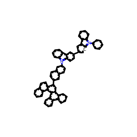 c1ccc(-n2c3ccccc3c3cc(-c4ccc5c(c4)c4ccccc4n5-c4ccc5cc(-c6cc7c8ccccc8c8ccccc8c7c7c6ccc6ccccc67)ccc5c4)ccc32)cc1